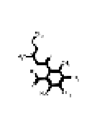 CSC[C@H](C)CC(=O)c1c(C)c(C)c(C)c(C)c1C(=O)O